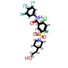 O=C(Nc1cc(F)c(F)c(F)c1)c1cc(S(=O)(=O)N2CCC(CCO)CC2)c(F)cc1Cl